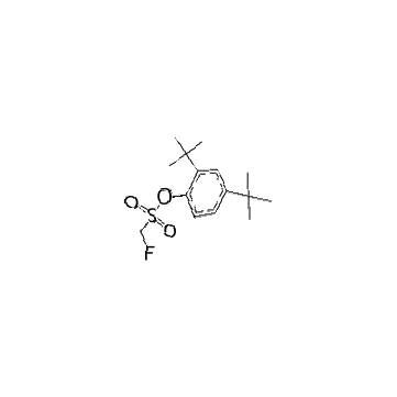 CC(C)(C)c1ccc(OS(=O)(=O)CF)c(C(C)(C)C)c1